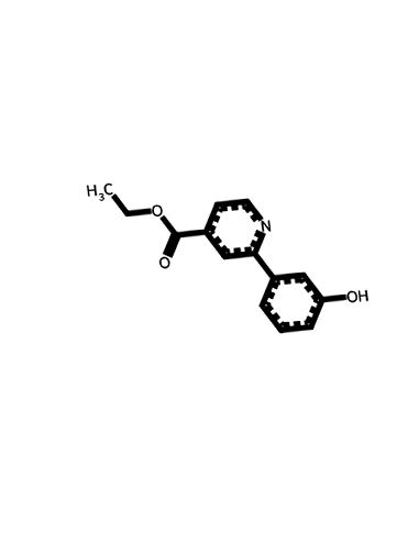 CCOC(=O)c1ccnc(-c2cccc(O)c2)c1